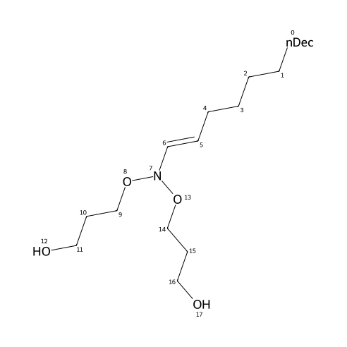 CCCCCCCCCCCCCCC=CN(OCCCO)OCCCO